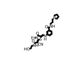 CCn1c(=C(C#N)C(=O)NCCO)sc(=CNc2cccc(C(=O)NCCCN3CCCC3)c2)c1=O